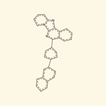 c1ccc2cc(-c3ccc(-c4nc5c(nc6ccccn65)c5ccccc45)cc3)ccc2c1